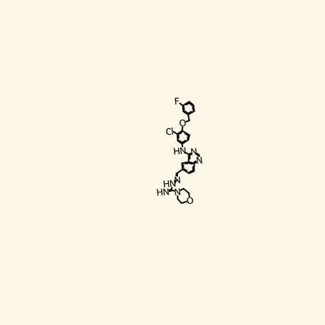 N=C(N/N=C/c1ccc2ncnc(Nc3ccc(OCc4cccc(F)c4)c(Cl)c3)c2c1)N1CCOCC1